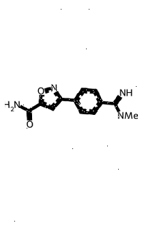 CNC(=N)c1ccc(-c2cc(C(N)=O)on2)cc1